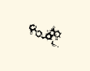 CCOc1cc(CN2CCN(c3ncccc3Cl)CC2)cc2[nH]c(=O)c3c(c12)NCCC3